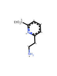 CCOC(=O)c1cccc(CCN)n1